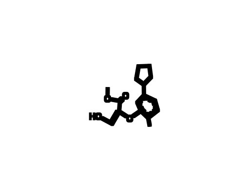 COC(=O)/C(=C\O)Oc1cc(C2CCCC2)ccc1C